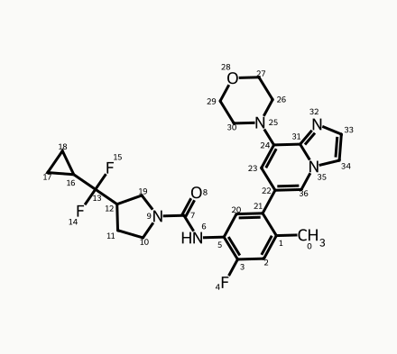 Cc1cc(F)c(NC(=O)N2CCC(C(F)(F)C3CC3)C2)cc1-c1cc(N2CCOCC2)c2nccn2c1